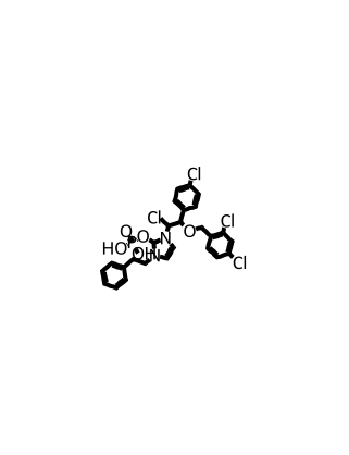 O=P(O)(O)OC1N(CCc2ccccc2)C=CN1C(Cl)C(OCc1ccc(Cl)cc1Cl)c1ccc(Cl)cc1